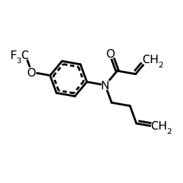 C=CCCN(C(=O)C=C)c1ccc(OC(F)(F)F)cc1